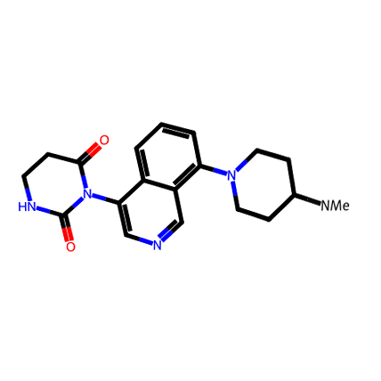 CNC1CCN(c2cccc3c(N4C(=O)CCNC4=O)cncc23)CC1